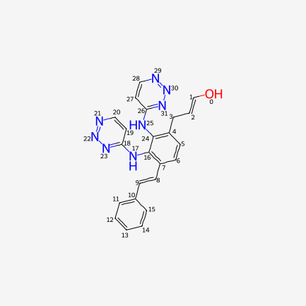 OC=CCc1ccc(C=Cc2ccccc2)c(Nc2ccnnn2)c1Nc1ccnnn1